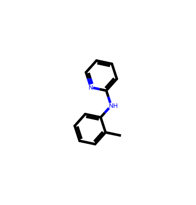 Cc1ccccc1Nc1ccccn1